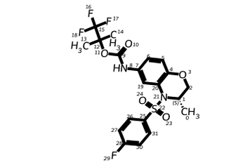 C[C@H]1COc2ccc(NC(=O)OC(C)(C)C(F)(F)F)cc2N1S(=O)(=O)c1ccc(F)cc1